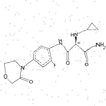 NC(=O)[C@H](NC1CC1)C(=O)Nc1ccc(N2CCOCC2=O)cc1F